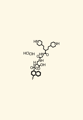 Cl.Cl.O=C(CNC(=O)C(CCC1CCNCC1)CCC1CCNCC1)NCC(NS(=O)(=O)c1ccc(F)c2ccccc12)C(=O)O